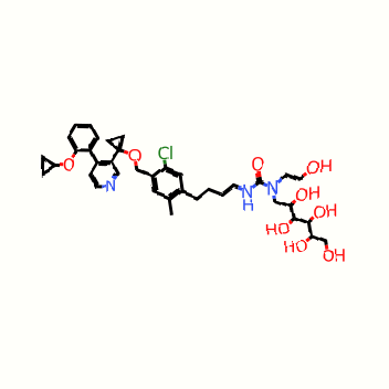 Cc1cc(COC2(c3cnccc3-c3ccccc3OC3CC3)CC2)c(Cl)cc1CCCCNC(=O)N(CCO)CC(O)C(O)C(O)C(O)CO